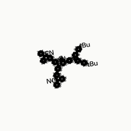 CC(C)(C)c1ccc(-c2ccc3c(c2)c2cc(-c4ccc(C(C)(C)C)cc4)ccc2n3-c2ccc(-c3ccc(N(c4ccc(-c5ccc(C(C#N)=C(c6ccccc6)c6ccccc6)cc5)cc4)c4ccc(-c5ccc(C(C#N)=C(c6ccccc6)c6ccccc6)cc5)cc4)c4nsnc34)cc2)cc1